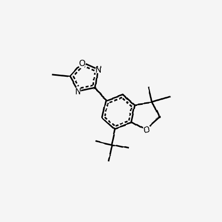 Cc1nc(-c2cc(C(C)(C)C)c3c(c2)C(C)(C)CO3)no1